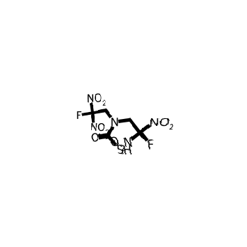 O=C(S)N(CC(F)([N+](=O)[O-])[N+](=O)[O-])CC(F)([N+](=O)[O-])[N+](=O)[O-]